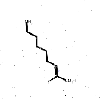 NCCCCC/C=C(\F)C(=O)O